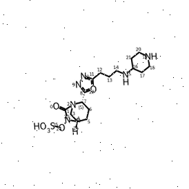 O=C1N2C[C@H](CC[C@H]2c2nnc(CCCNC3CCNCC3)o2)N1OS(=O)(=O)O